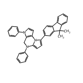 CC1(C)c2ccccc2-c2ccc(-c3ccc4n3-c3ccn(-c5ccccc5)c3CN4c3ccccc3)cc21